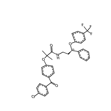 CC(C)(Oc1ccc(C(=O)c2ccc(Cl)cc2)cc1)C(=O)NCC[C@@H](Oc1ccc(C(F)(F)F)cc1)c1ccccc1